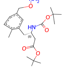 Cc1ccc(CON)cc1C[C@@H](CC(=O)OC(C)(C)C)NC(=O)OC(C)(C)C